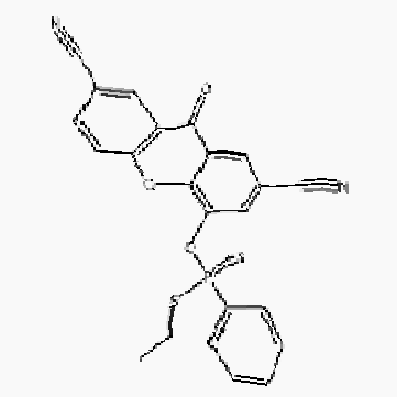 CCSP(=S)(Oc1cc(C#N)cc2c(=O)c3cc(C#N)ccc3oc12)c1ccccc1